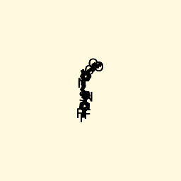 COC(=O)COc1ccc(N(C)CCc2cnc(-c3ccc(C(F)(F)F)cc3)s2)cc1C